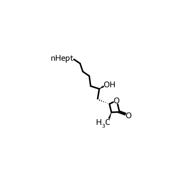 CCCCCCCCCCC[C@@H](O)C[C@@H]1OC(=O)[C@H]1C